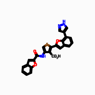 O=C(Nc1csc(-c2cc3cccc(-c4cn[nH]c4)c3o2)c1C(=O)O)c1cc2ccccc2o1